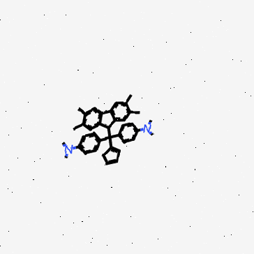 Cc1cc2c(cc1C)C(C(C1=CC=CC1)(c1ccc(N(C)C)cc1)c1ccc(N(C)C)cc1)c1cc(C)c(C)cc1-2